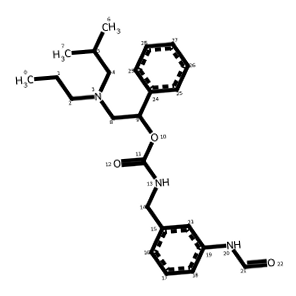 CCCN(CC(C)C)CC(OC(=O)NCc1cccc(NC=O)c1)c1ccccc1